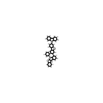 c1ccc(-n2c3oc4ccccc4c3c3cccc(-c4ccc5c(c4)oc4cc(-n6c7ccccc7c7ccccc76)ccc45)c32)cc1